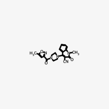 Cc1cc(C(=O)N2CCN(c3c(C#N)c(=O)n(C)c4ccccc34)CC2)no1